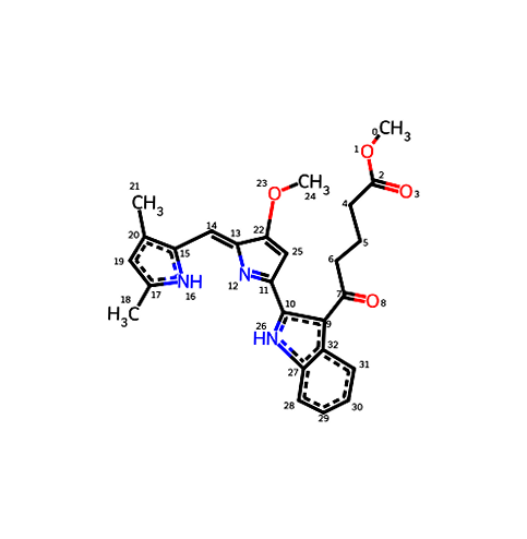 COC(=O)CCCC(=O)c1c(C2=N/C(=C\c3[nH]c(C)cc3C)C(OC)=C2)[nH]c2ccccc12